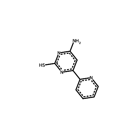 Nc1cc(-c2ccccn2)nc(S)n1